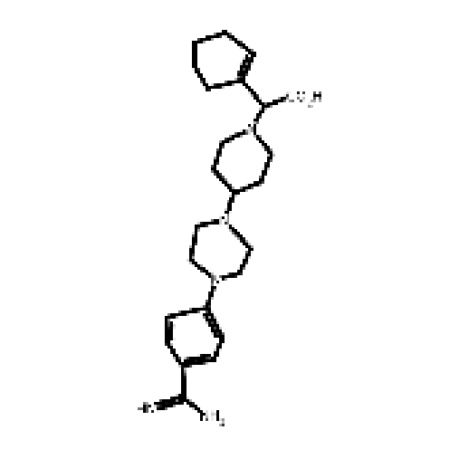 N=C(N)c1ccc(N2CCN(C3CCN(C(C(=O)O)C4=CCCCC4)CC3)CC2)cc1